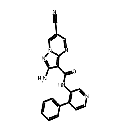 N#Cc1cnc2c(C(=O)Nc3cnccc3-c3ccccc3)c(N)nn2c1